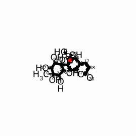 C[C@]1(O)[C@H](O)[C@H](O)[C@@](OP(=O)(O)O)(c2ccc3ccc(=O)oc3c2)[C@@H](O)[C@@H]1O